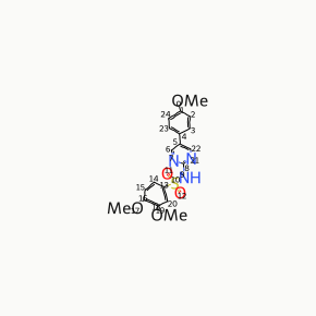 COc1ccc(-c2cnc(NS(=O)(=O)c3ccc(OC)c(OC)c3)nc2)cc1